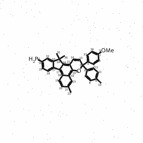 COc1ccc(C2(c3ccc(C)cc3)C=Cc3c4c(c5ccc(C)cc5c3O2)-c2ccc(P)cc2C4(C)C)cc1